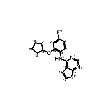 Fc1ccc(Nc2ncnc3sccc23)c(OC2CCCC2)c1